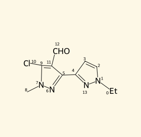 CCn1ccc(-c2nn(C)c(Cl)c2C=O)n1